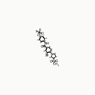 CS(=O)(=O)[C@H]1CCN(c2ncc(C(=O)Nc3ccc(OC(F)(F)Cl)cc3)cc2Br)C1